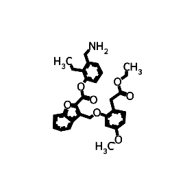 CCOC(=O)Cc1ccc(OC)cc1OCc1c(C(=O)Oc2cccc(CN)c2CC)oc2ccccc12